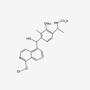 CCOc1nccc2c(C(O)c3ccc(C(C)NC(=O)O)c(OC)c3C)cccc12